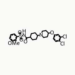 COc1ccccc1S(=O)(=O)NC(=O)C1CCC(N2CCC(Oc3ccc(Cl)c(Cl)c3)CC2)CC1